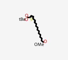 COC(=O)CCCCCCCCCCC=Cc1ccc(C(=O)OC(C)(C)C)s1